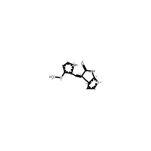 COc1cc[nH]c1/C=C1\C(=O)Nc2sccc21